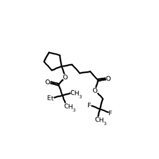 CCC(C)(C)C(=O)OC1(CCCC(=O)OCC(C)(F)F)CCCC1